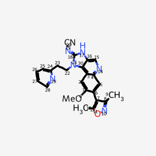 COc1cc2c(cc1-c1c(C)noc1C)ncc1[nH]c(=NC#N)n(CCc3ccccn3)c12